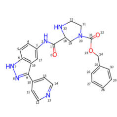 O=C(Nc1ccc2[nH]nc(-c3ccncc3)c2c1)C1CN(C(=O)OCc2ccccc2)CCN1